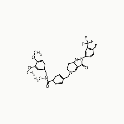 COC1=CCC(CN(C)C(=O)C2C=CC(CN3C=C4C(=O)N(c5ccc(F)c(C(F)(F)F)c5)N=C4CC3)=CC2)C=C1OC